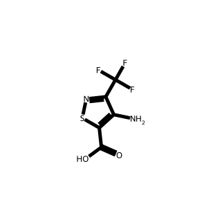 Nc1c(C(F)(F)F)nsc1C(=O)O